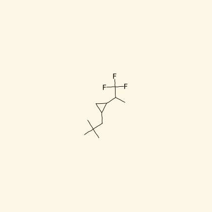 CC(C1CC1CC(C)(C)C)C(F)(F)F